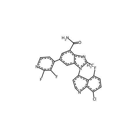 Cc1nc2c(C(N)=O)cc(-c3ccnc(F)c3F)cc2n1-c1ccnc2c(Cl)ccc(F)c12